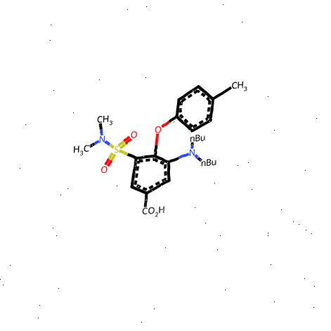 CCCCN(CCCC)c1cc(C(=O)O)cc(S(=O)(=O)N(C)C)c1Oc1ccc(C)cc1